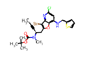 CC#C[C@@H](Cc1oc2c(NCc3cccs3)cc(Cl)nc2c1Br)N(C)C(=O)OC(C)(C)C